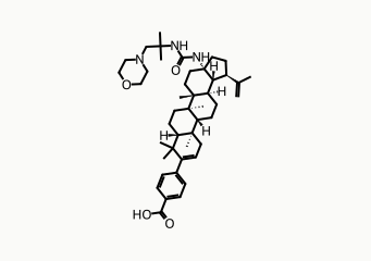 C=C(C)[C@@H]1CC[C@]2(NC(=O)NC(C)(C)CN3CCOCC3)CC[C@]3(C)[C@H](CC[C@@H]4[C@@]5(C)CC=C(c6ccc(C(=O)O)cc6)C(C)(C)[C@@H]5CC[C@]43C)[C@@H]12